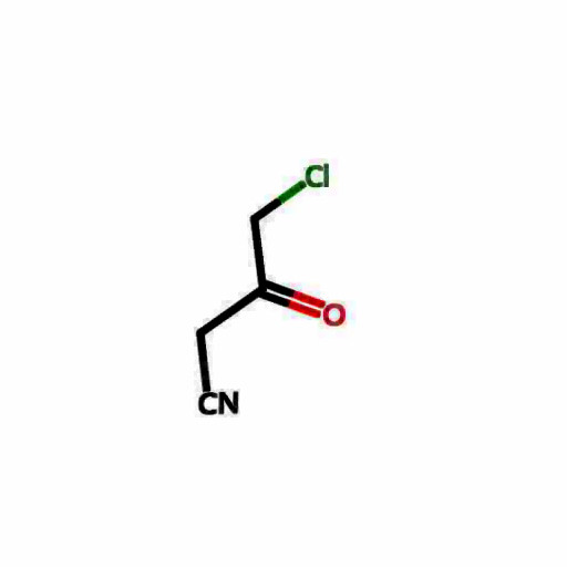 N#CCC(=O)CCl